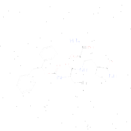 CC(C)CC(NC(=O)OC(Cc1ccccc1)c1ccccc1)C(=O)NC(CC1CCNC1=O)C(=O)C(N)=O